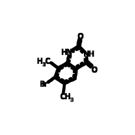 Cc1cc2c(=O)[nH]c(=O)[nH]c2c(C)c1Br